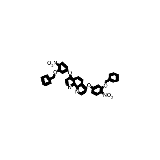 O=[N+]([O-])c1ccc(Oc2ccnc3c2ccc2c(Oc4ccc([N+](=O)[O-])c(OCc5ccccc5)c4)ccnc23)cc1OCc1ccccc1